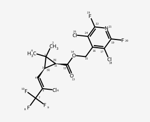 CC1(C)[C@H](C=C(Cl)C(F)(F)F)[C@@H]1C(=O)OCc1c(Cl)c(F)nc(F)c1Cl